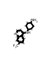 NC1CCC(Nc2ccnc3cc(C(F)(F)F)ccc23)CC1